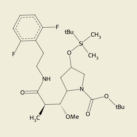 CO[C@@H](C1CC(O[Si](C)(C)C(C)(C)C)CN1C(=O)OC(C)(C)C)[C@@H](C)C(=O)NCCc1c(F)cccc1F